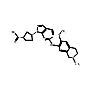 COc1cc2c(cc1Nc1ncc3cnn([C@H]4CC[C@H](C(=O)O)C4)c3n1)CN(C)CC2